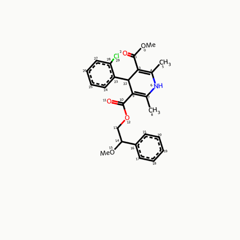 COC(=O)C1=C(C)NC(C)=C(C(=O)OCC(OC)c2ccccc2)C1c1ccccc1Cl